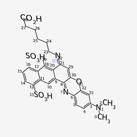 CN(C)c1ccc2nc3c4cc5c(S(=O)(=O)O)cccc5c(S(=O)(=O)O)c4/c(=N\CCCCCC(=O)O)cc-3oc2c1